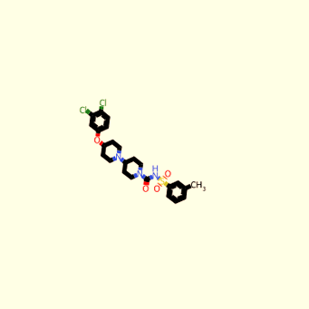 Cc1cccc(S(=O)(=O)NC(=O)N2CCC(N3CCC(Oc4ccc(Cl)c(Cl)c4)CC3)CC2)c1